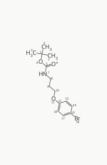 CC(C)(C)OC(=O)NCCCOc1ccc(Br)cc1